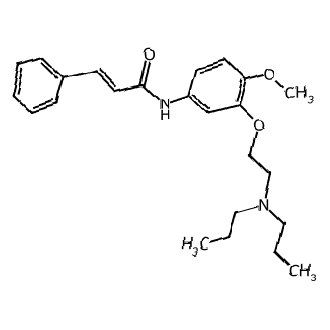 CCCN(CCC)CCOc1cc(NC(=O)C=Cc2ccccc2)ccc1OC